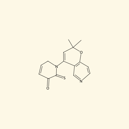 CC1(C)C=C(N2CC=CC(=O)C2=S)c2cnccc2O1